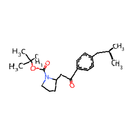 CC(C)Cc1ccc(C(=O)CC2CCCN2C(=O)OC(C)(C)C)cc1